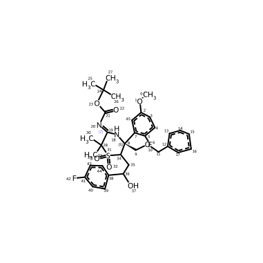 COc1ccc(F)c([C@@]2(COCc3ccccc3)N/C(=N\C(=O)OC(C)(C)C)C(C)(C)S(=O)(=O)C2CC(O)c2ccc(F)cc2)c1